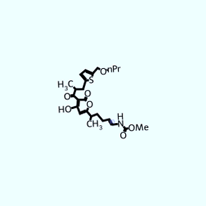 CCCOCc1ccc(CC(C)C(=O)c2c(O)cc(C(C)CC/C=C/NC(=O)OC)oc2=O)s1